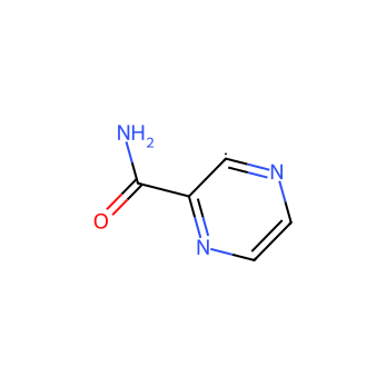 NC(=O)c1[c]nccn1